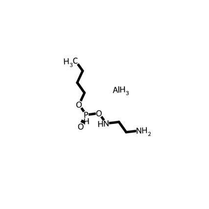 CCCCO[PH](=O)ONCCN.[AlH3]